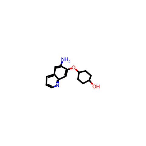 Nc1cc2cccnc2cc1OC1CCC(O)CC1